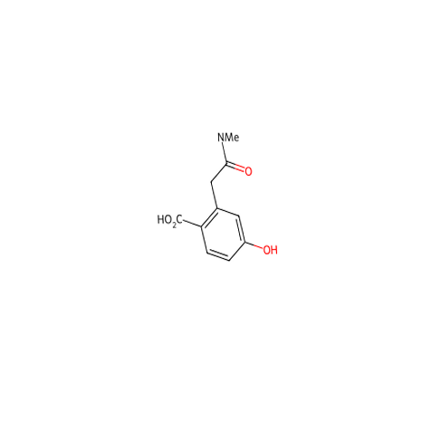 CNC(=O)Cc1cc(O)ccc1C(=O)O